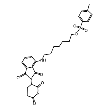 Cc1ccc(S(=O)(=O)OCCCCCCCNc2cccc3c2C(=O)N(C2CCC(=O)NC2=O)C3=O)cc1